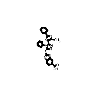 Cc1nc(-c2ccccc2)sc1-c1nnc(Sc2nc3ccc(C(=O)O)cc3s2)n1-c1ccccc1